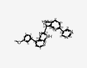 COc1cccc(-c2ccnc3[nH]c(-c4n[nH]c5ccc(-c6cncnc6)nc45)nc23)c1